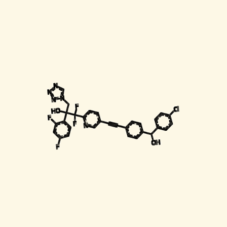 OC(c1ccc(Cl)cc1)c1ccc(C#Cc2ccc(C(F)(F)C(O)(Cn3cnnn3)c3ccc(F)cc3F)nc2)cc1